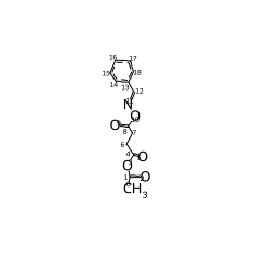 CC(=O)OC(=O)CCC(=O)ON=Cc1ccccc1